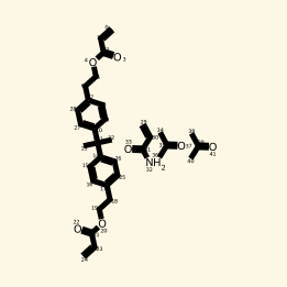 C=CC(=O)OCCc1ccc(C(C)(C)c2ccc(CCOC(=O)C=C)cc2)cc1.C=CC(N)=O.CC(C)=O.CC(C)=O